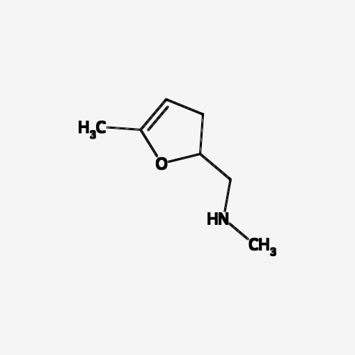 CNCC1CC=C(C)O1